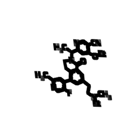 CCOc1cc([C@H](C)N2CCc3c(cc(CCN(C)CC)cc3-c3cc(C)ncc3F)C2=O)ncc1C#N